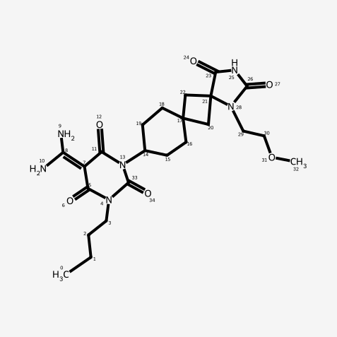 CCCCN1C(=O)C(=C(N)N)C(=O)N(C2CCC3(CC2)CC2(C3)C(=O)NC(=O)N2CCOC)C1=O